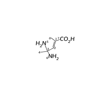 CC(=CC(C)(N)N)C(=O)O